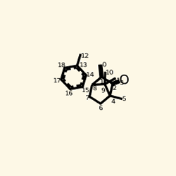 C=C1C(=O)C2(C)CCC1C2(C)C.Cc1ccccc1